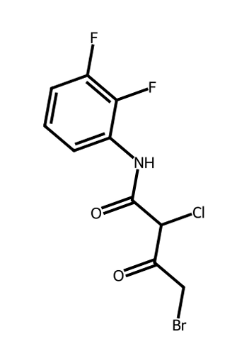 O=C(CBr)C(Cl)C(=O)Nc1cccc(F)c1F